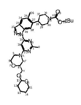 Cc1nc(N2CCO[C@H](COC3CCCCO3)C2)cc(-n2ncc3cc(C)c(C4CCN(C(=O)OC(C)(C)C)CC4)cc32)n1